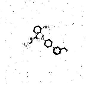 CCNC(=O)N1CCC[C@H](N)[C@@H]1CO[C@H]1CC[C@@H](c2cccc(CF)c2)CC1